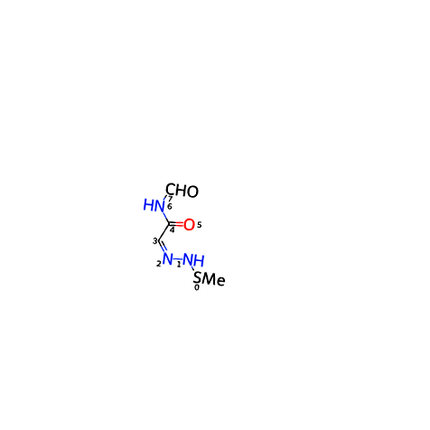 CSN/N=C\C(=O)NC=O